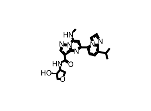 CNc1cc(-c2ccc(C(C)C)c3nccn23)nc2c(C(=O)NC3COC[C@H]3O)cnn12